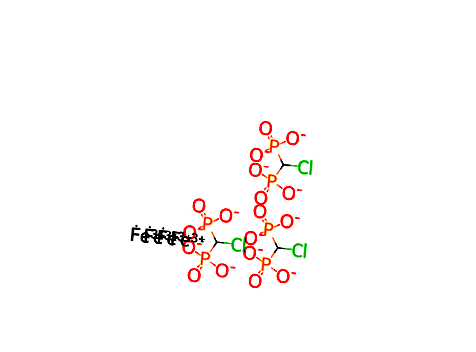 O=P([O-])([O-])C(Cl)P(=O)([O-])[O-].O=P([O-])([O-])C(Cl)P(=O)([O-])[O-].O=P([O-])([O-])C(Cl)P(=O)([O-])[O-].[Fe+3].[Fe+3].[Fe+3].[Fe+3]